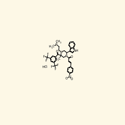 CN(C)CCN1CC(c2c[nH]c3ccccc23)N(C(=O)C=Cc2ccc([N+](=O)[O-])cc2)CC1(C)C(=O)c1cc(C(F)(F)F)cc(C(F)(F)F)c1.Cl